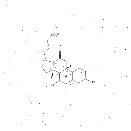 C[C@H](CCC(=O)O)[C@H]1CC[C@H]2[C@@H]3C(O)CC4CC(O)CC[C@]4(C)[C@H]3CC(=O)[C@]12C